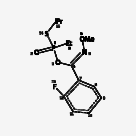 CCP(=O)(OC(=NOC)c1ccccc1F)SC(C)C